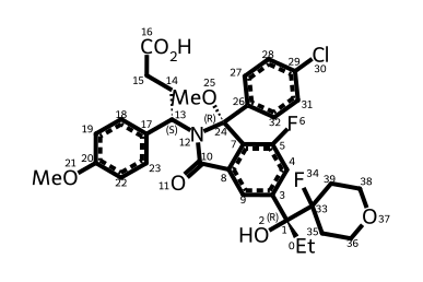 CC[C@@](O)(c1cc(F)c2c(c1)C(=O)N([C@@H](CCC(=O)O)c1ccc(OC)cc1)[C@@]2(OC)c1ccc(Cl)cc1)C1(F)CCOCC1